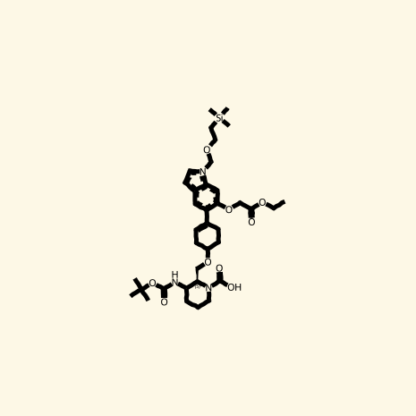 CCOC(=O)COc1cc2c(ccn2COCC[Si](C)(C)C)cc1C1=CCC(OC[C@@H]2C(NC(=O)OC(C)(C)C)CCCN2C(=O)O)CC1